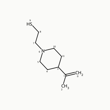 C=C(C)C1CCN(CCS)CC1